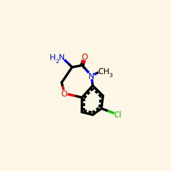 CN1C(=O)C(N)COc2ccc(Cl)cc21